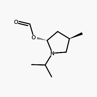 CC(C)N1C[C@H](C)C[C@H]1OC=O